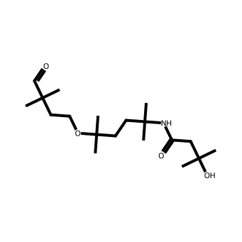 CC(C)(O)CC(=O)NC(C)(C)CCC(C)(C)OCCC(C)(C)C=O